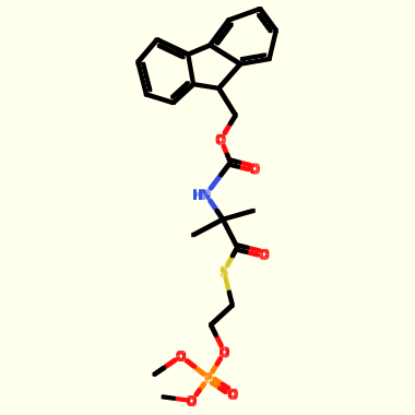 COP(=O)(OC)OCCSC(=O)C(C)(C)NC(=O)OCC1c2ccccc2-c2ccccc21